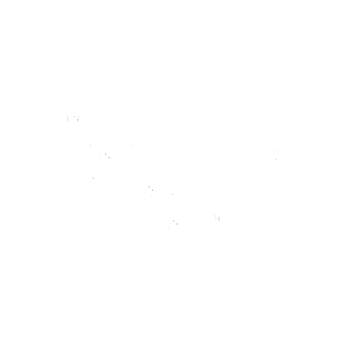 Cc1cc2c(N3CCCN(S(N)(=O)=O)CC3)ncnc2cc1C(=O)O